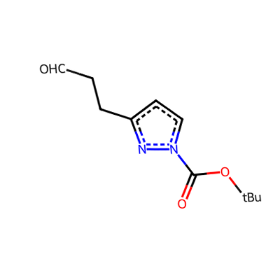 CC(C)(C)OC(=O)n1ccc(CCC=O)n1